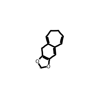 [CH]1OC2=C(CC3=CCCC=CC3=C2)O1